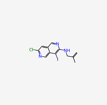 C=C(C)CNc1ncc2cc(Cl)ncc2c1I